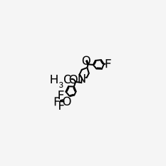 COC(CN1CCC(C(=O)c2ccc(F)cc2)CC1)c1ccc(OC(F)(F)F)cc1